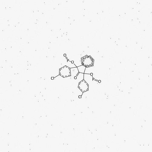 O=POC(C(=O)C(OP=O)(c1ccccc1)c1ccc(Cl)cc1)(c1ccccc1)c1ccc(Cl)cc1